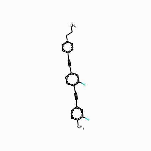 CCCc1ccc(C#Cc2ccc(C#Cc3ccc(C)c(F)c3)c(F)c2)cc1